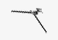 CCCC=CCC=CCC=CCC=CCC=CCC=CCC(=O)OC[C@H](COP(=O)(O)OC[C@H](N)C(=O)O)OC(=O)CC=CCC=CCC=CCC=CCC=CCCCCCC